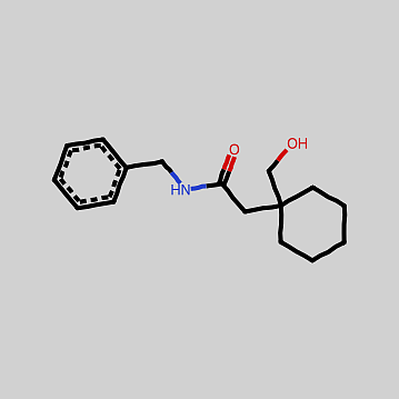 O=C(CC1(CO)CCCCC1)NCc1ccccc1